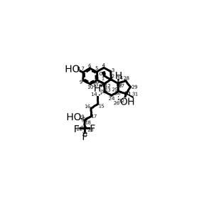 C=CC12CCc3cc(O)ccc3[C@H]1[C@@H](CCCC[C@@H](O)C(F)(F)F)C[C@@]1(C)[C@H]2CC[C@]1(C)O